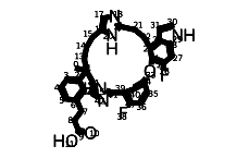 CC1(c2cccc(CCC(=O)O)c2)CCCc2cnc([nH]2)CCc2c(c(F)cc3[nH]ccc23)Oc2ccc(F)c(c2)-c2ncc1[nH]2